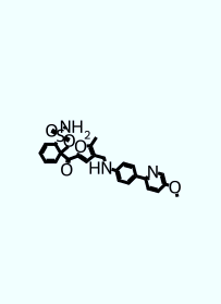 COc1ccc(-c2ccc(NCc3cc(C(=O)C4(C)C=CC=CC4S(N)(=O)=O)oc3C)cc2)nc1